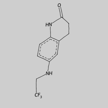 O=C1CCc2cc(NCC(F)(F)F)ccc2N1